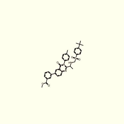 COC(=O)c1cccc(-c2ccc3nc(C(C)NCS(=O)(=O)c4ccc(C(C)(C)C)cc4)n(-c4ccc(C)cc4)c(=O)c3c2)c1